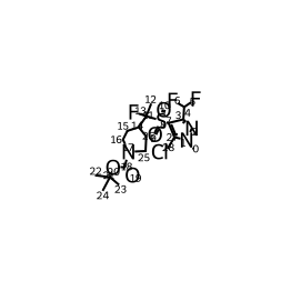 Cn1nc(C(F)F)c(S(=O)(=O)C(C)(F)C2CCN(C(=O)OC(C)(C)C)CC2)c1Cl